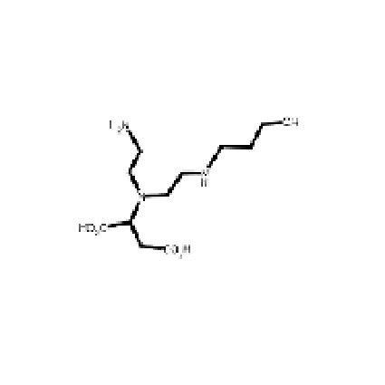 NCCN(CCNCCCO)C(CC(=O)O)C(=O)O